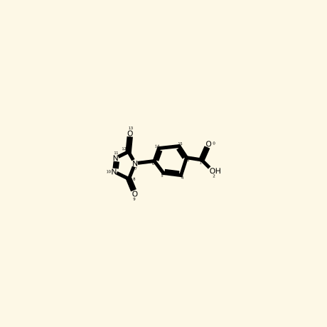 O=C(O)c1ccc(N2C(=O)N=NC2=O)cc1